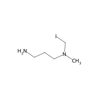 CN(CI)CCCN